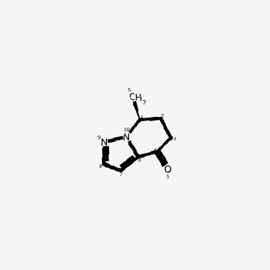 C[C@H]1CCC(=O)c2ccnn21